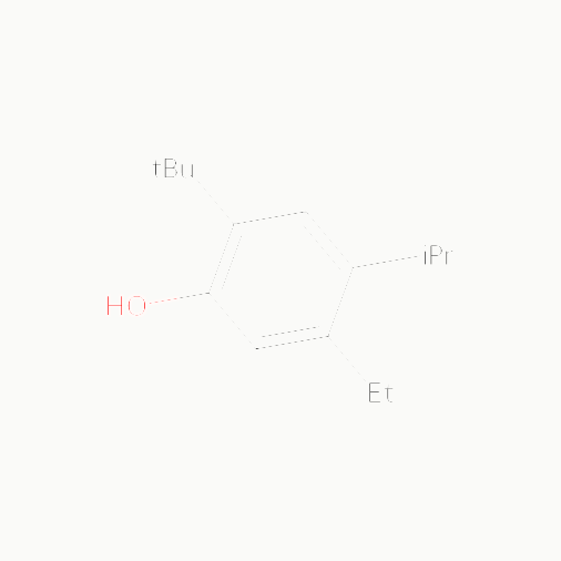 CCc1cc(O)c(C(C)(C)C)cc1C(C)C